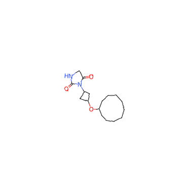 O=C1CNC(=O)N1C1CC(OC2CCCCCCCCC2)C1